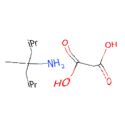 CC(C)C(C)(N)C(C)C.O=C(O)C(=O)O